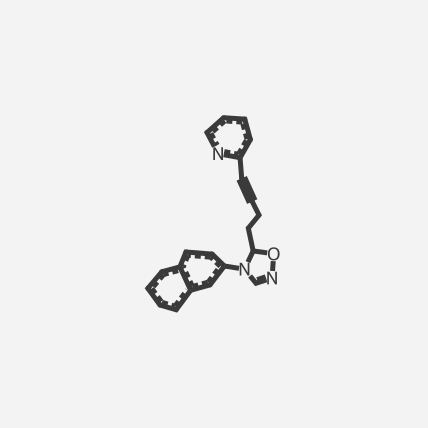 C(#Cc1ccccn1)CCC1ON=CN1c1ccc2ccccc2c1